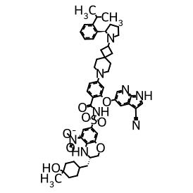 CC(C)c1ccccc1[C@H]1CCCN1C1CC2(CCN(c3ccc(C(=O)NS(=O)(=O)c4cc5c(c([N+](=O)[O-])c4)N[C@@H](CC4CCC(C)(O)CC4)CO5)c(Oc4cnc5[nH]cc(C#N)c5c4)c3)CC2)C1